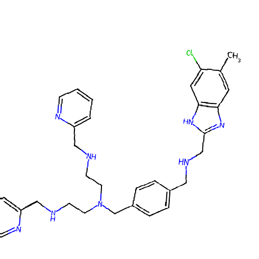 Cc1cc2nc(CNCc3ccc(CN(CCNCc4ccccn4)CCNCc4ccccn4)cc3)[nH]c2cc1Cl